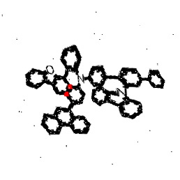 c1ccc(-c2ccc(-c3ccc(N(c4ccc(-c5cc6ccccc6c6ccccc56)cc4)c4ccccc4-c4cccc5c4oc4ccccc45)cc3)c(-n3c4ccccc4c4ccccc43)c2)cc1